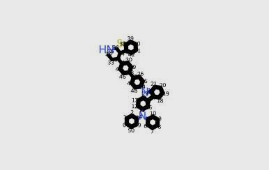 c1ccc(N(c2ccccc2)c2ccc3c(c2)c2ccccc2n3-c2ccc(-c3ccc(C4CCNC5Sc6ccccc6C54)cc3)cc2)cc1